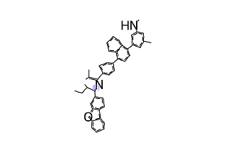 CCC(C)/C(=N\C(=C(C)C)c1ccc(-c2ccc(-c3cc(C)cc(NC)c3)c3ccccc23)cc1)c1ccc2c(c1)oc1ccccc12